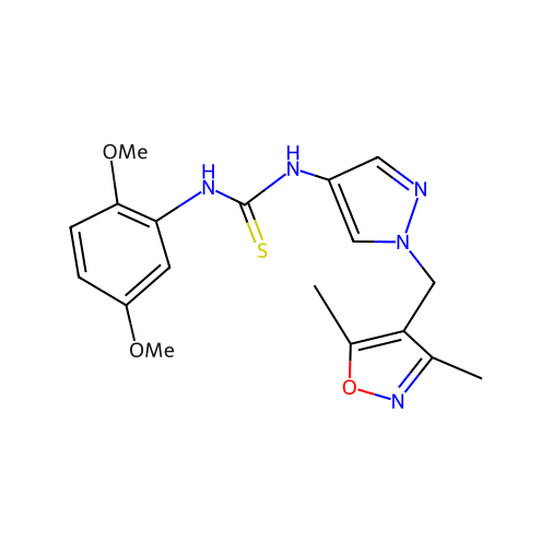 COc1ccc(OC)c(NC(=S)Nc2cnn(Cc3c(C)noc3C)c2)c1